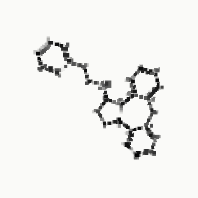 c1ccc(CCNC2CCN3c4ccccc4Cc4ccccc4C23)cc1